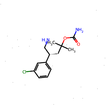 CC(C)(C[C@@H](CN)c1cccc(Cl)c1)OC(N)=O